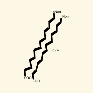 CCCCCCCCC/C=C/C=C/C=C/C=C/C=C/C=C/C(=O)[O-].CCCCCCCCC/C=C/C=C/C=C/C=C/C=C/C=C/C(=O)[O-].[Ca+2]